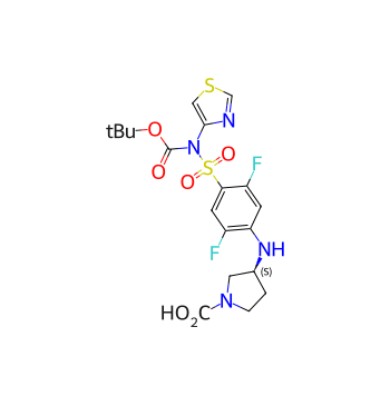 CC(C)(C)OC(=O)N(c1cscn1)S(=O)(=O)c1cc(F)c(N[C@H]2CCN(C(=O)O)C2)cc1F